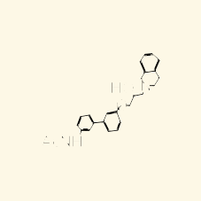 CC(=O)Nc1cccc(-c2cccc(OCC(O)CN3CCc4ccccc4C3)c2)c1